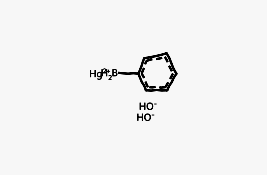 Bc1ccccc1.[Hg+2].[OH-].[OH-]